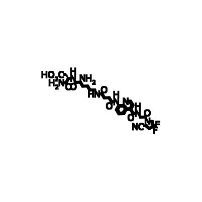 N#C[C@@H]1CC(F)(F)CN1C(=O)CNC(=O)c1ccnc2c(NC(=O)CCC(=O)NCCCC[C@H](N)C(=O)N[C@@H](CC(=O)O)C(N)=O)cccc12